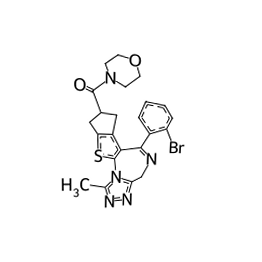 Cc1nnc2n1-c1sc3c(c1C(c1ccccc1Br)=NC2)CC(C(=O)N1CCOCC1)C3